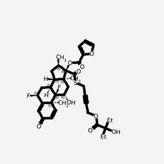 CCC(O)(CC)C(=O)OCC#CCSC(=O)[C@@]1(OC(=O)c2ccco2)[C@H](C)C[C@H]2[C@@H]3C[C@H](F)C4=CC(=O)C=C[C@]4(C)[C@@]3(F)[C@@H](O)C[C@@]21C